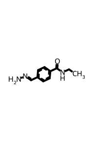 CCNC(=O)c1ccc(C=NN)cc1